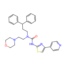 O=C(Nc1nc(-c2ccncc2)cs1)N(CCC(c1ccccc1)c1ccccc1)CCN1CCOCC1